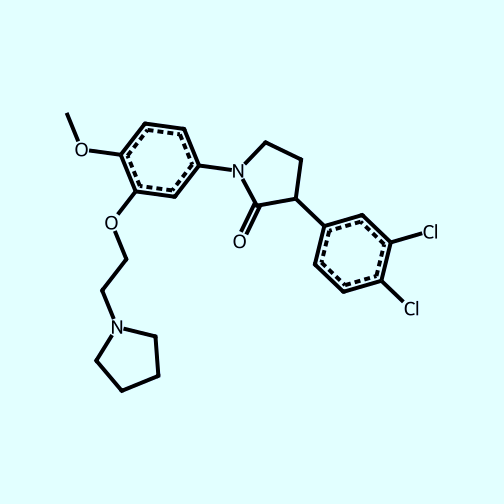 COc1ccc(N2CCC(c3ccc(Cl)c(Cl)c3)C2=O)cc1OCCN1CCCC1